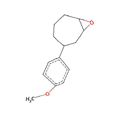 COc1ccc(C2CCCC3OC3C2)cc1